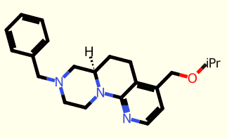 CC(C)OCc1ccnc2c1CC[C@@H]1CN(Cc3ccccc3)CCN21